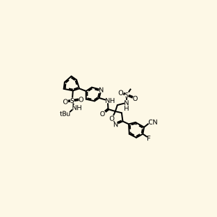 CC(C)(C)NS(=O)(=O)c1ccccc1-c1ccc(NC(=O)C2(CNS(C)(=O)=O)CC(c3ccc(F)c(C#N)c3)=NO2)nc1